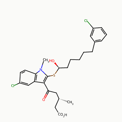 C[C@H](CC(=O)O)CC(=O)c1c(S[C@@H](O)CCCCCc2cccc(Cl)c2)n(C)c2ccc(Cl)cc12